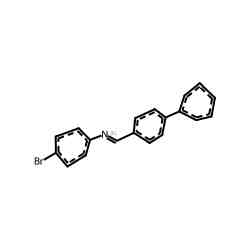 Brc1ccc(/N=C/c2ccc(-c3ccccc3)cc2)cc1